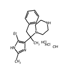 CCc1[nH]c(C)nc1C(C)(Cc1ccccc1)N1CCNCC1.Cl.Cl.Cl